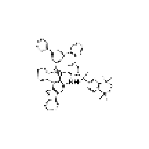 CC1(C)CCC(C)(C)c2cc(C(C)(C)c3cccc4c3Nc3cc5c(sc6ccccc65)c5c3B4N(c3cc(-c4ccccc4)cc(-c4ccccc4)c3)c3ccccc3-5)ccc21